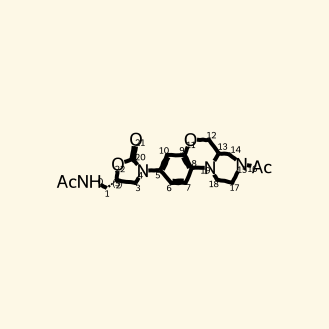 CC(=O)NC[C@H]1CN(c2ccc3c(c2)OCC2CN(C(C)=O)CCN32)C(=O)O1